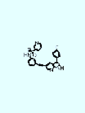 O=S(=O)(Nc1cccc(C#Cc2cnc3[nH]nc(-c4ccc(F)cc4)c3c2)c1)c1cccnc1